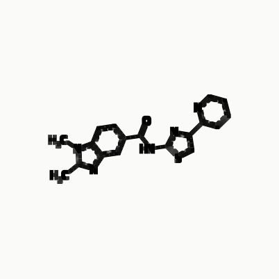 Cc1nc2cc(C(=O)Nc3nc(-c4ccccn4)cs3)ccc2n1C